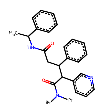 CC(NC(=O)CC(c1ccccc1)C(C(=O)N(C(C)C)C(C)C)c1cccnc1)c1ccccc1